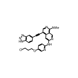 CNc1ncc(C#Cc2ccc3[nH]nnc3c2)c2cc(Nc3ccc(OCCCCl)cn3)ncc12